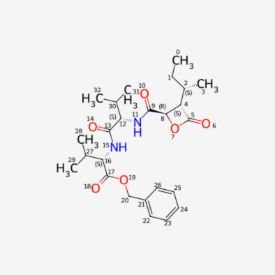 CC[C@H](C)[C@@H]1C(=O)O[C@H]1C(=O)N[C@H](C(=O)N[C@H](C(=O)OCc1ccccc1)C(C)C)C(C)C